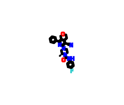 C[C@@H]1CN(c2nc(-c3ccccc3)c3c(c2C#N)CCOC3)CCN1C(=O)Nc1ccc(F)cc1